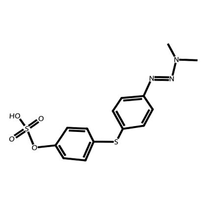 CN(C)N=Nc1ccc(Sc2ccc(OS(=O)(=O)O)cc2)cc1